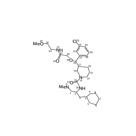 CNCC(CC1CCCCC1)NC(=O)N1CCCC(C(OCC(=O)NCCOC)c2cccc(Cl)c2)C1